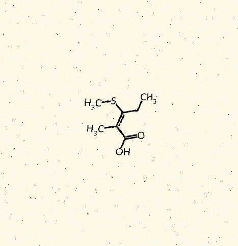 CCC(SC)=C(C)C(=O)O